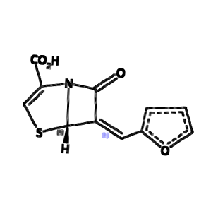 O=C(O)C1=CS[C@H]2/C(=C/c3ccco3)C(=O)N12